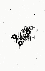 COc1ccc(C(O)C(=O)N[C@@H](Cc2cc(F)cc(F)c2)[C@H](O)CNCc2cccc(I)c2)cc1[N+](=O)[O-]